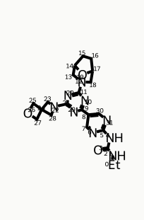 CCNC(=O)Nc1ncc(-c2nc(N3CC4CCC(C3)O4)nc(N3CC4(COC4)C3)n2)cn1